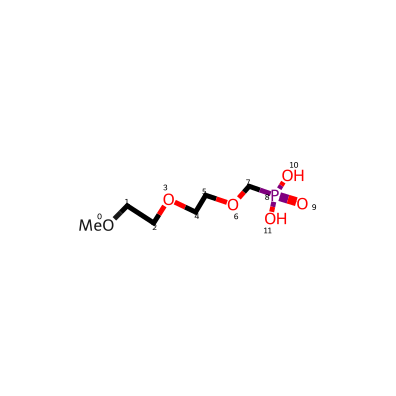 COCCOCCOCP(=O)(O)O